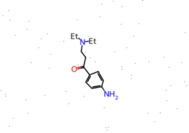 CCN(CC)CCC(=O)c1ccc(N)cc1